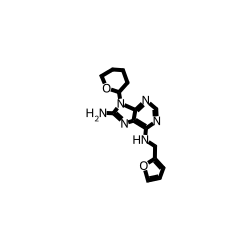 Nc1nc2c(NCc3ccco3)ncnc2n1C1CCCCO1